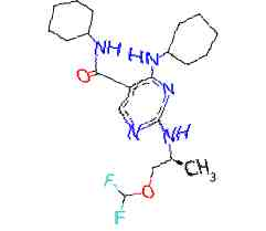 C[C@@H](COC(F)F)Nc1ncc(C(=O)NC2CCCCC2)c(NC2CCCCC2)n1